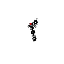 CC(C)N(c1cc(-c2ccc(-c3nc4ncccc4o3)cc2)sc1C(=O)O)C(=O)[C@H]1CC[C@H](C)CC1